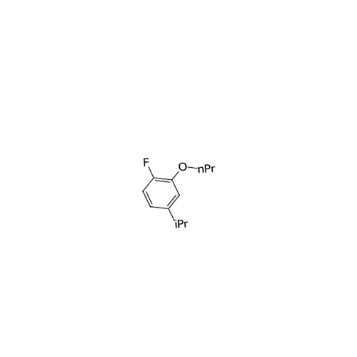 CCCOc1cc(C(C)C)ccc1F